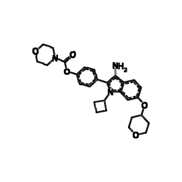 Nc1c(-c2ccc(OC(=O)N3CCOCC3)cc2)n(C2CCC2)c2cc(OC3CCOCC3)ccc12